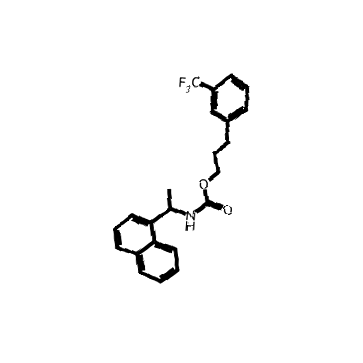 CC(NC(=O)OCCCc1cccc(C(F)(F)F)c1)c1cccc2ccccc12